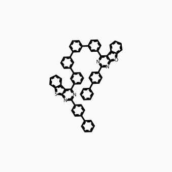 c1ccc(-c2ccc(-c3nc(-c4cccc(-c5cccc(-c6cccc(-c7cccc(-c8nc(-c9ccc(-c%10ccccc%10)cc9)nc9sc%10ccccc%10c89)c7)c6)c5)c4)c4c(n3)oc3ccccc34)cc2)cc1